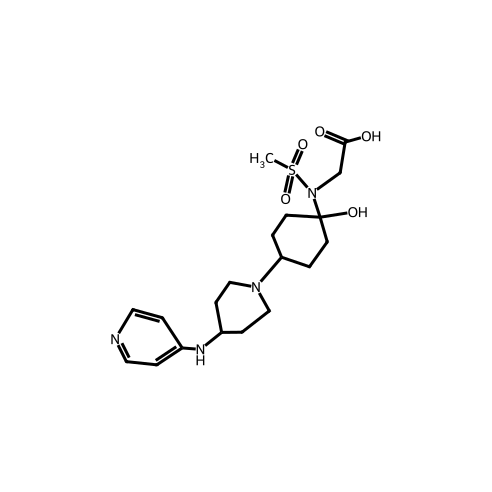 CS(=O)(=O)N(CC(=O)O)C1(O)CCC(N2CCC(Nc3ccncc3)CC2)CC1